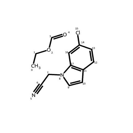 CCOC=O.N#CCn1ccc2ccc(Cl)cc21